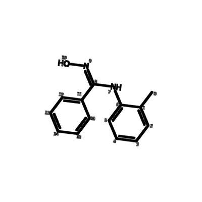 Cc1ccccc1N/C(=N/O)c1ccccc1